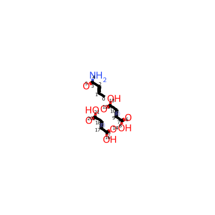 CC=CC(N)=O.O=C(O)/C=C/C(=O)O.O=C(O)/C=C/C(=O)O